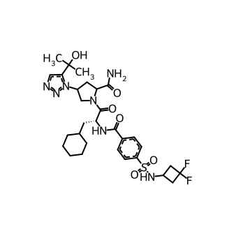 CC(C)(O)c1cnnn1C1CC(C(N)=O)N(C(=O)[C@@H](CC2CCCCC2)NC(=O)c2ccc(S(=O)(=O)NC3CC(F)(F)C3)cc2)C1